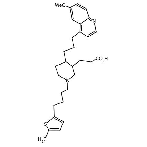 COc1ccc2nccc(CCCC3CCN(CCCCc4ccc(C)s4)CC3CCC(=O)O)c2c1